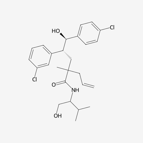 C=CCC(C)(C[C@H](c1cccc(Cl)c1)[C@@H](O)c1ccc(Cl)cc1)C(=O)NC(CO)C(C)C